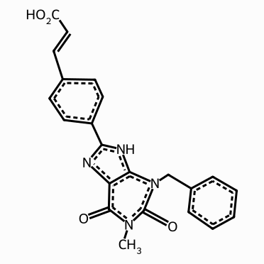 Cn1c(=O)c2nc(-c3ccc(C=CC(=O)O)cc3)[nH]c2n(Cc2ccccc2)c1=O